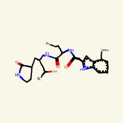 COc1cccc2[nH]c(C(=O)NC(CC(C)C)C(=O)NC(CC3CCNC3=O)C(O)C#N)cc12